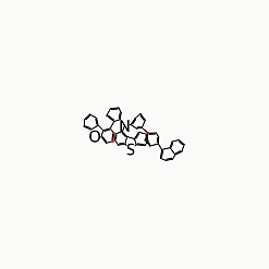 c1cc(-c2ccc(-c3cccc4ccccc34)cc2)cc(N(c2ccccc2-c2cccc3oc4ccccc4c23)c2cccc3sc4ccccc4c23)c1